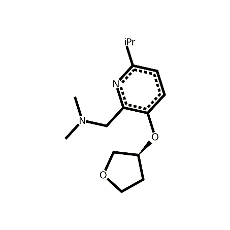 CC(C)c1ccc(O[C@H]2CCOC2)c(CN(C)C)n1